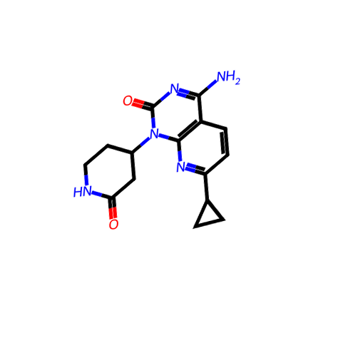 Nc1nc(=O)n(C2CCNC(=O)C2)c2nc(C3CC3)ccc12